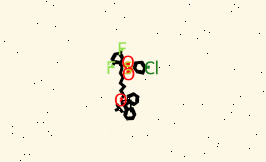 CC(C)(C)[Si](OCCCCCCC(c1cc(F)ccc1F)S(=O)(=O)c1ccc(Cl)cc1)(c1ccccc1)c1ccccc1